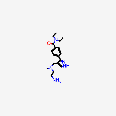 CCN(CC)C(=O)c1ccc(-c2n[nH]cc2CN(C)CCN)cc1